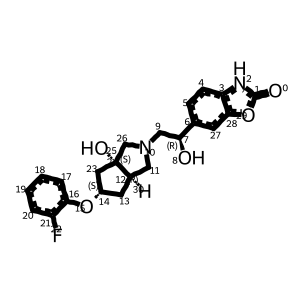 O=c1[nH]c2ccc([C@@H](O)CN3C[C@H]4C[C@H](Oc5ccccc5F)C[C@@]4(O)C3)cc2o1